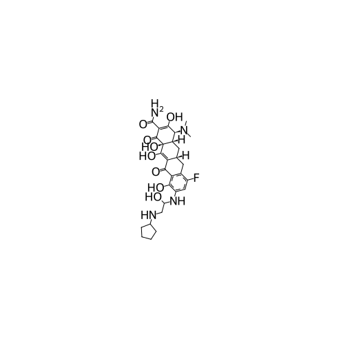 CN(C)[C@@H]1C(O)=C(C(N)=O)C(=O)[C@@]2(O)C(O)=C3C(=O)c4c(O)c(NC(O)CNC5CCCC5)cc(F)c4C[C@H]3C[C@@H]12